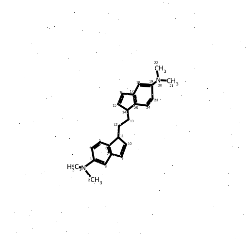 CN(C)c1ccc2c(c1)C=CC2CCC1C=Cc2cc(N(C)C)ccc21